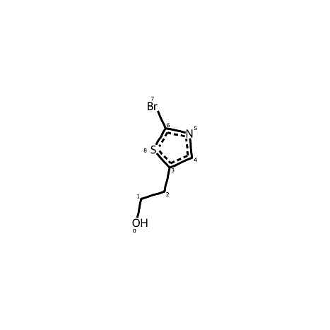 OCCc1cnc(Br)s1